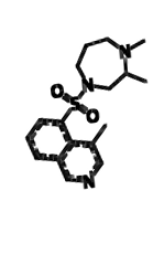 Cc1cncc2cccc(S(=O)(=O)N3CCCN(C)C(C)C3)c12